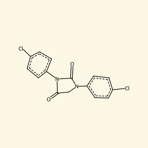 O=C1CN(c2ccc(Cl)cc2)C(=O)N1c1ccc(Cl)cc1